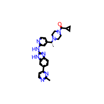 Cc1nccc(-c2ccc3nc(Nc4cc([C@@H](C)N5CCN(C(=O)C6CC6)CC5)ccn4)[nH]c3c2)n1